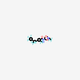 O=C(N[C@H]1COCN(CC(F)(F)F)OC1)c1ccc(/C(F)=C/C(c2cc(F)c(F)c(F)c2)C(F)(F)F)cc1C(F)(F)F